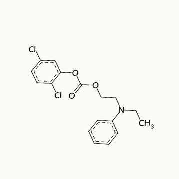 CCN(CCOC(=O)Oc1cc(Cl)ccc1Cl)c1ccccc1